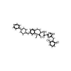 CN1C(=O)C(NC(=O)c2n[nH]c(Cc3c(Cl)cccc3Cl)n2)CCc2ccc(CN3CCN(c4ccncc4)CC3)cc21